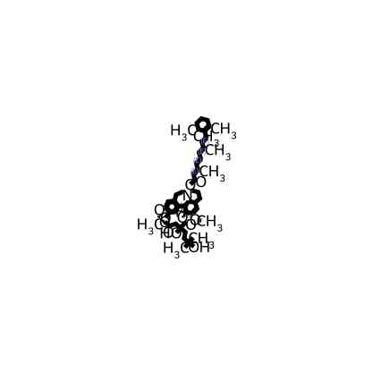 COC(=O)CC(O)(CCC(C)(C)O)C(=O)O[C@@H]1C(OC)=CC2CCC(OC(=O)/C=C(C)/C=C/C=C(C)/C=C/C3=C(C)CCCC3(C)C)N3CCc4cc5c(cc4[C@H]1C23)OCO5